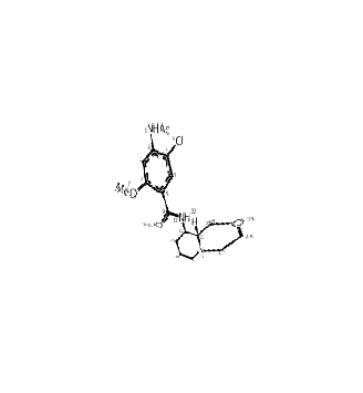 COc1cc(NC(C)=O)c(Cl)cc1C(=O)N[C@@H]1CCCN2CCOC[C@@H]12